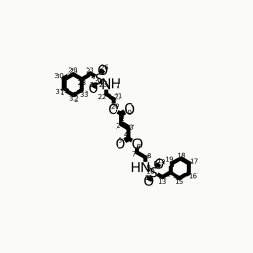 O=C(/C=C/C(=O)OCCNS(=O)(=O)CC1CCCCC1)OCCNS(=O)(=O)CC1CCCCC1